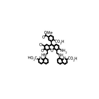 COC(=O)c1ccc(C(=O)O)c(-c2c3cc(Cl)c(=O)c(CNc4cccc5ccc(C(=O)O)nc45)c-3oc3c(CNc4cccc5ccc(C(=O)O)nc45)c(N)ccc23)c1